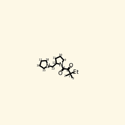 CCC(C)(C)C(=O)C(=O)N1CCCC1CN1CCCC1